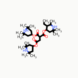 CCC1C(C)NC(C)(C)CC1OC(=O)C(CC(=O)OC1CC(C)(C)NC(C)(C)C1)C(=O)OC1CC(C)(C)NC(C)(C)C1